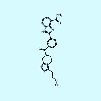 COCCc1nnc2n1CCN(C(=O)c1cccc(-c3nc4c(C(N)=O)cccc4[nH]3)c1)C2